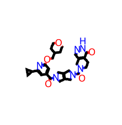 O=C(c1cc(OCC2CCOCC2)nc(C2CC2)c1)N1CC2=C(C1)CN(C(=O)N1CCc3c(cn[nH]c3=O)C1)C2